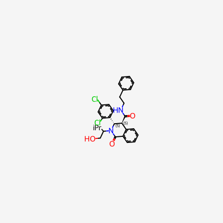 CC(C)C(CO)N1C(=O)c2ccccc2[C@H](C(=O)NCCc2ccccc2)[C@H]1c1ccc(Cl)cc1Cl